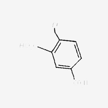 CCc1[c]cc(C(=O)O)cc1C(=O)O